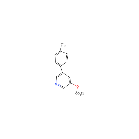 CCOC(=O)Oc1cncc(-c2ccc(C(F)(F)F)cc2)c1